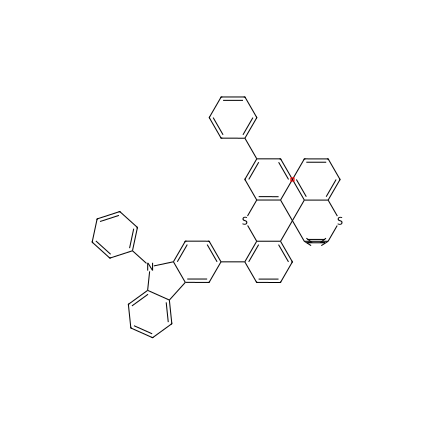 c1ccc(-c2ccc3c(c2)Sc2c(-c4ccc5c(c4)c4ccccc4n5-c4ccccc4)cccc2C32c3ccccc3Sc3ccccc32)cc1